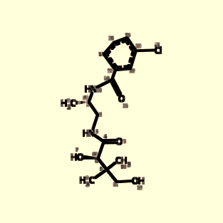 C[C@@H](CNC(=O)[C@H](O)C(C)(C)CO)NC(=O)c1cccc(Cl)c1